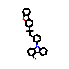 CC(C)(C)c1cccc2c1c1ccccc1n2-c1cccc(CC(C)(C)c2ccc3c(c2)oc2ccccc23)c1